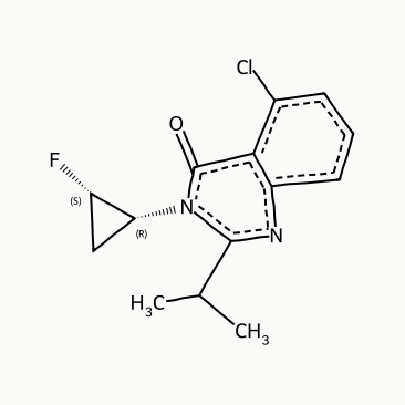 CC(C)c1nc2cccc(Cl)c2c(=O)n1[C@@H]1C[C@@H]1F